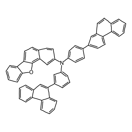 c1cc(-c2cc3ccccc3c3ccccc23)cc(N(c2ccc(-c3ccc4c(ccc5ccccc54)c3)cc2)c2ccc3ccc4c5ccccc5oc4c3c2)c1